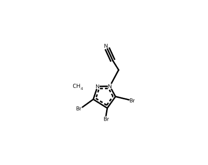 C.N#CCn1nc(Br)c(Br)c1Br